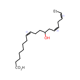 CC/C=C\C/C=C\CC(O)CC/C=C\CCCCCCC(=O)O